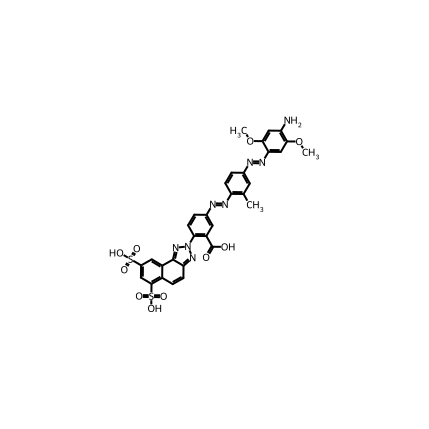 COc1cc(N=Nc2ccc(N=Nc3ccc(-n4nc5ccc6c(S(=O)(=O)O)cc(S(=O)(=O)O)cc6c5n4)c(C(=O)O)c3)c(C)c2)c(OC)cc1N